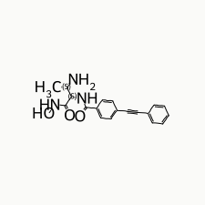 C[C@H](N)[C@H](NC(=O)c1ccc(C#Cc2ccccc2)cc1)C(=O)NO